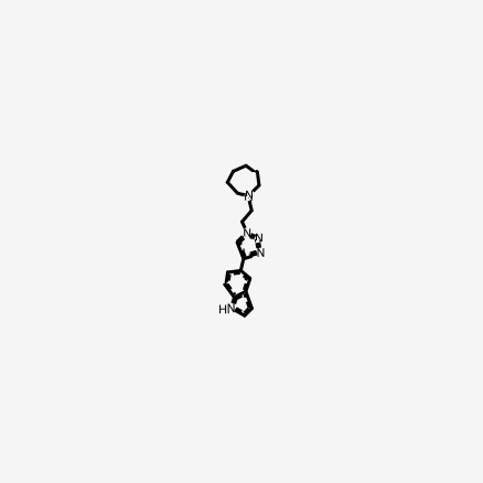 c1cc2cc(-c3cn(CCN4CCCCCC4)nn3)ccc2[nH]1